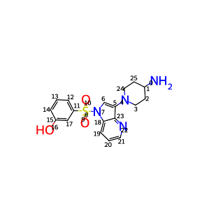 NC1CCN(c2cn(S(=O)(=O)c3cccc(O)c3)c3cccnc23)CC1